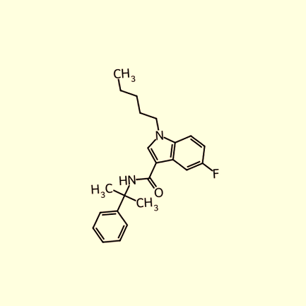 CCCCCn1cc(C(=O)NC(C)(C)c2ccccc2)c2cc(F)ccc21